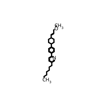 CCCCCCCc1ccc(-c2ccc(C3CCC(C=CCOC)CC3)cc2)nc1